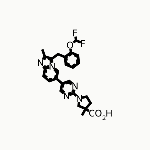 Cc1nc2ccc(-c3cnc(N4CCC(C)(C(=O)O)C4)nc3)cn2c1Cc1ccccc1OC(F)F